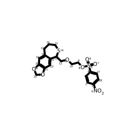 O=[N+]([O-])c1ccc(S(=O)(=O)OCCOCC2SCCCc3cc4c(cc32)OCO4)cc1